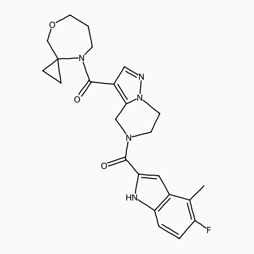 Cc1c(F)ccc2[nH]c(C(=O)N3CCn4ncc(C(=O)N5CCCOCC56CC6)c4C3)cc12